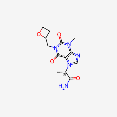 C[C@@H](C(N)=O)n1cnc2c1c(=O)n(CC1CCO1)c(=O)n2C